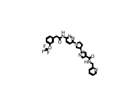 O=C(Cc1cccc(OC(F)(F)F)c1)Nc1ccc(N2CCC(n3cc(C(=O)NCc4ccccn4)cn3)C2)nn1